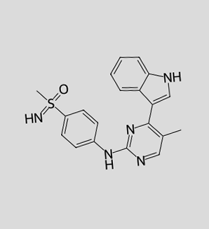 Cc1cnc(Nc2ccc(S(C)(=N)=O)cc2)nc1-c1c[nH]c2ccccc12